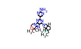 CCC1(F)CC[C@@H]2CN(c3nc(-c4cnc(N)nc4)nc4c3nc3n4CCOC3(C)C)C[C@H]21